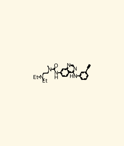 C#Cc1cccc(Nc2ncnc3cc(NC(=O)N(C)CCN(CC)CC)ccc23)c1